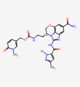 CCn1nc(C)cc1C(=O)Nc1nc2cc(C(N)=O)cc3c2n1[C@@H](CCNC(=O)OCc1ccc(=O)n(C)c1)CO3